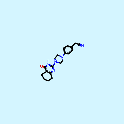 N#CCc1ccc(N2CCN(c3nc4c(c(=O)[nH]3)CCCC4)CC2)cc1